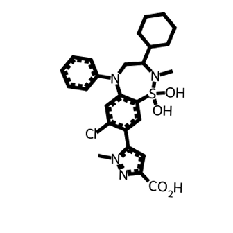 CN1C(C2CCCCC2)CN(c2ccccc2)c2cc(Cl)c(-c3cc(C(=O)O)nn3C)cc2S1(O)O